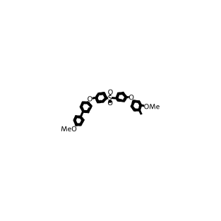 COc1ccc(-c2ccc(Oc3ccc(S(=O)(=O)c4ccc(Oc5ccc(C)c(OC)c5)cc4)cc3)cc2)cc1